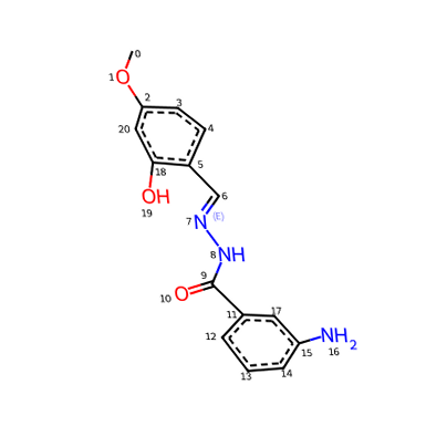 COc1ccc(/C=N/NC(=O)c2cccc(N)c2)c(O)c1